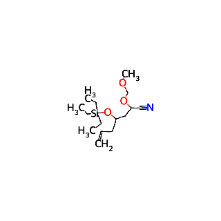 C=CCC(CC(C#N)OCOC)O[Si](CC)(CC)CC